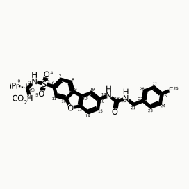 CC(C)[C@H](NS(=O)(=O)c1ccc2c(c1)oc1ccc(NC(=O)NCc3ccc(F)cc3)cc12)C(=O)O